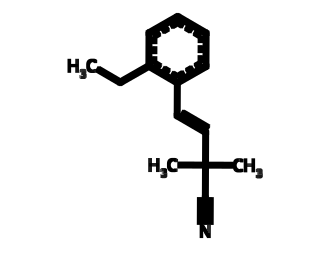 CCc1ccccc1/C=C/C(C)(C)C#N